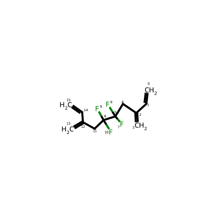 C=CC(=C)CC(F)(F)C(F)(F)CC(=C)C=C